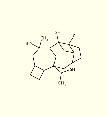 CC(C)C1(C)CC2CCC2C2(C(C)S)CC3CCC4(C)C3CC4(S)C1C2